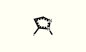 Cn1n[c]cc1I